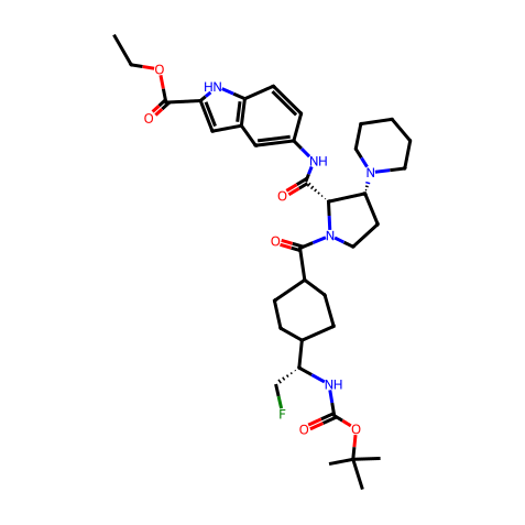 CCOC(=O)c1cc2cc(NC(=O)[C@@H]3[C@H](N4CCCCC4)CCN3C(=O)C3CCC([C@@H](CF)NC(=O)OC(C)(C)C)CC3)ccc2[nH]1